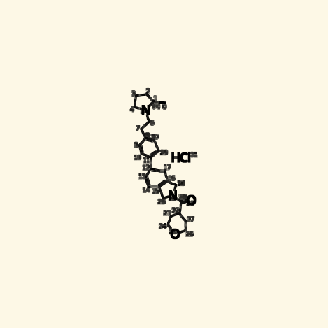 C[C@@H]1CCCN1CCc1ccc(-c2ccc3c(c2)CN(C(=O)C2CCOCC2)C3)cc1.Cl